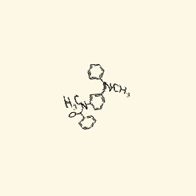 CN(C(=O)c1ccccc1)c1cccc(N(C)c2ccccc2)c1